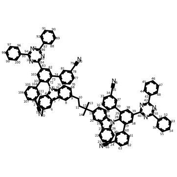 Cc1ccc2c(c1)c1cc(CCC(C)(C)c3ccc4c(c3)c3ccccc3n4-c3c(-c4cccc(C#N)c4)cc(-c4nc(-c5ccccc5)nc(-c5ccccc5)n4)cc3-c3cccc(C#N)c3)ccc1n2-c1c(-c2cccc(C#N)c2)cc(-c2nc(-c3ccccc3)nc(-c3ccccc3)n2)cc1-c1cccc(C#N)c1